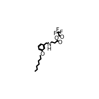 CCCCCCCOc1cccc(CNCCC(=O)OC(=O)C(F)(F)F)c1